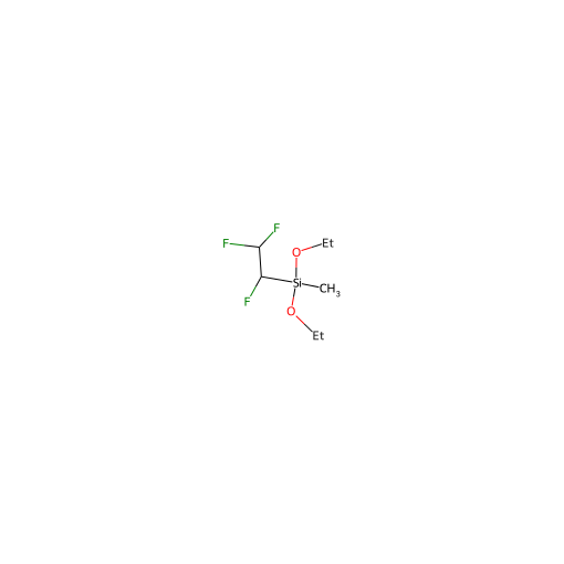 CCO[Si](C)(OCC)C(F)C(F)F